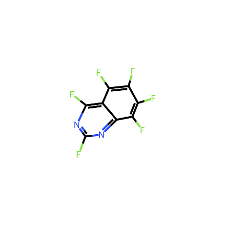 Fc1nc(F)c2c(F)c(F)c(F)c(F)c2n1